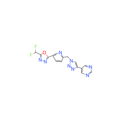 FC(F)c1nnc(-c2ccc(Cn3cc(-c4cncnc4)nn3)nc2)o1